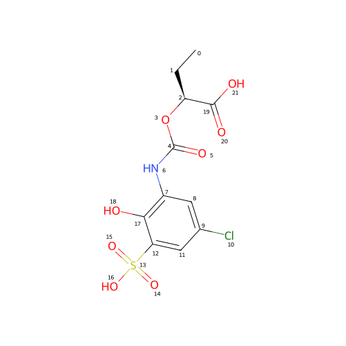 CC[C@H](OC(=O)Nc1cc(Cl)cc(S(=O)(=O)O)c1O)C(=O)O